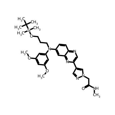 CNC(=O)Cn1cc(-c2cnc3ccc(N(CCCO[Si](C)(C)C(C)(C)C)c4cc(OC)cc(OC)c4)cc3n2)cn1